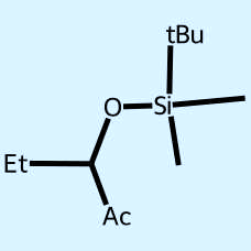 CCC(O[Si](C)(C)C(C)(C)C)C(C)=O